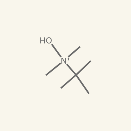 CC(C)(C)[N+](C)(C)O